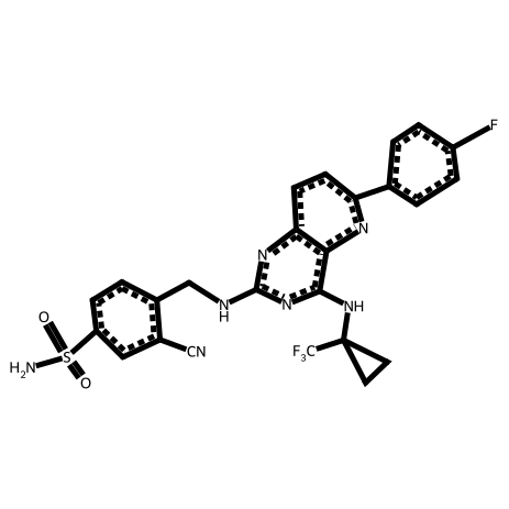 N#Cc1cc(S(N)(=O)=O)ccc1CNc1nc(NC2(C(F)(F)F)CC2)c2nc(-c3ccc(F)cc3)ccc2n1